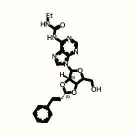 CCNC(=O)Nc1ncnc2c1ncn2C1OC(CO)C2O[C@H](C=Cc3ccccc3)O[C@@H]21